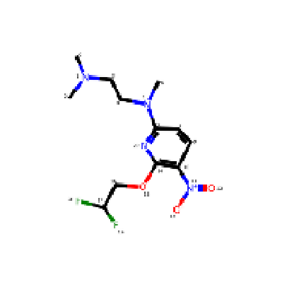 CN(C)CCN(C)c1ccc([N+](=O)[O-])c(OCC(F)F)n1